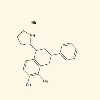 Br.Oc1ccc2c(c1O)CC(c1ccccc1)CC2C1CCCN1